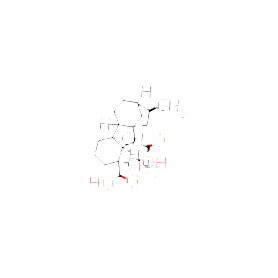 C=C1C[C@]23C[C@H]1CC[C@H]2[C@]1(C)CCC[C@@](C)(C(=O)O)[C@H]1[C@@H]3C(=O)O